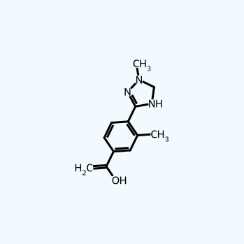 C=C(O)c1ccc(C2=NN(C)CN2)c(C)c1